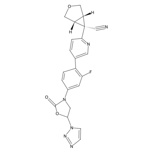 N#C[C@]1(c2ccc(-c3ccc(N4CC(n5ccnn5)OC4=O)cc3F)cn2)[C@@H]2COC[C@@H]21